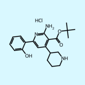 CC(C)(C)OC(=O)c1c(C2CCCNC2)cc(-c2ccccc2O)nc1N.Cl